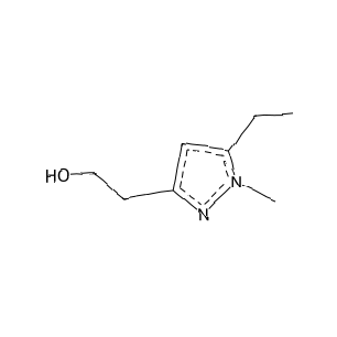 CCc1cc(CCO)nn1C